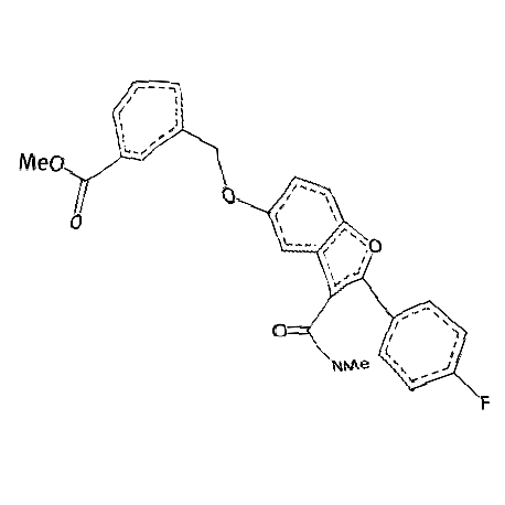 CNC(=O)c1c(-c2ccc(F)cc2)oc2ccc(OCc3cccc(C(=O)OC)c3)cc12